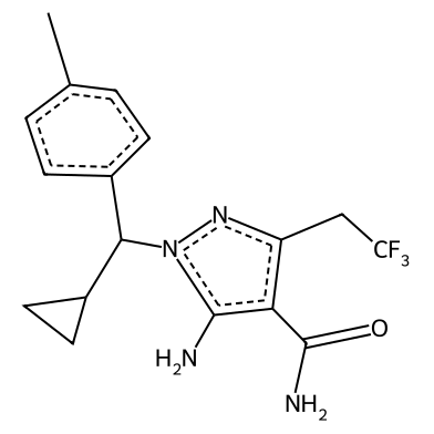 Cc1ccc(C(C2CC2)n2nc(CC(F)(F)F)c(C(N)=O)c2N)cc1